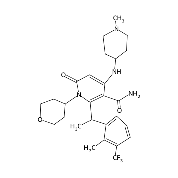 Cc1c(C(C)c2c(C(N)=O)c(NC3CCN(C)CC3)cc(=O)n2C2CCOCC2)cccc1C(F)(F)F